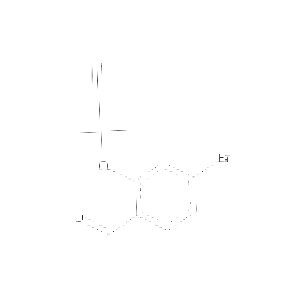 C#CC(C)(C)Oc1cc(Br)ccc1C=O